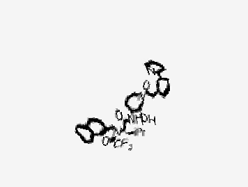 CC(C)C[C@@H](C(=O)NC1CCCN(C(=O)Cc2cccc(-c3ccccn3)c2)CC1O)N(Cc1ccc2ccccc2c1)C(=O)C(F)(F)F